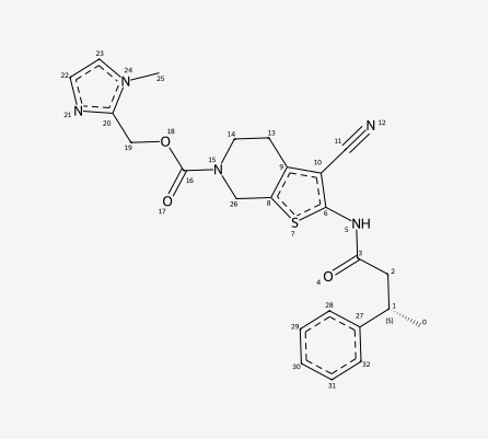 C[C@@H](CC(=O)Nc1sc2c(c1C#N)CCN(C(=O)OCc1nccn1C)C2)c1ccccc1